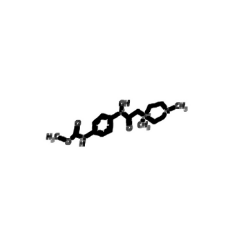 COC(=O)Nc1ccc(N(O)C(=O)C[N+]2(C)CCN(C)CC2)cc1